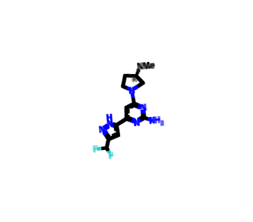 CN[C@@H]1CCN(c2cc(-c3cc(C(F)F)n[nH]3)nc(N)n2)C1